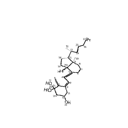 C=C1/C(=C\C=C2/CCC[C@]3(C)[C@@H]([C@H](C)CCCC(C)C)CC[C@@H]23)C[C@@H](O)CC1(O)O